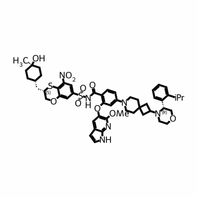 COc1nc2[nH]ccc2cc1Oc1cc(N2CCC3(CC2)CC(N2CCOC[C@H]2c2ccccc2C(C)C)C3)ccc1C(=O)NS(=O)(=O)c1cc2c(c([N+](=O)[O-])c1)S[C@@H](C[C@H]1CC[C@](C)(O)CC1)CO2